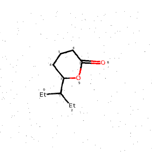 CCC(CC)C1CCCC(=O)O1